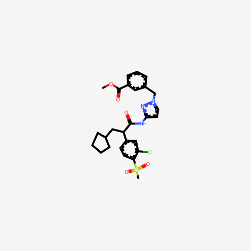 COC(=O)c1cccc(Cn2ccc(NC(=O)C(CC3CCCC3)c3ccc(S(C)(=O)=O)c(Cl)c3)n2)c1